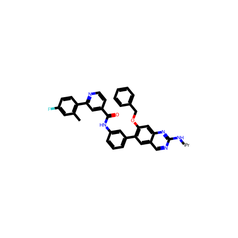 Cc1cc(F)ccc1-c1cc(C(=O)Nc2cccc(-c3cc4cnc(NC(C)C)nc4cc3OCc3ccccc3)c2)ccn1